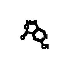 CSc1cnc(C#N)cc1C(=O)Cl